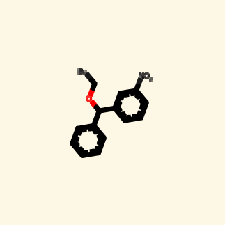 CCC(C)COC(c1ccccc1)c1cccc([N+](=O)[O-])c1